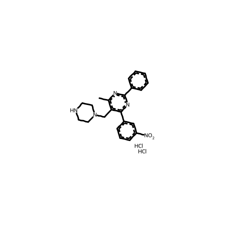 Cc1nc(-c2ccccc2)nc(-c2cccc([N+](=O)[O-])c2)c1CN1CCNCC1.Cl.Cl